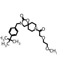 COCCOCC(=O)N1CCC2(CC1)CN(Cc1ccc(C(C)(C)C)cc1)C(=O)O2